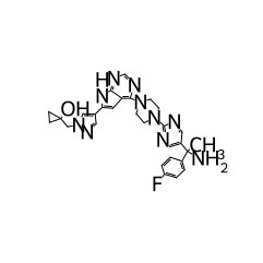 CC(N)(c1ccc(F)cc1)c1cnc(N2CCN(c3ncnc4[nH]c(-c5cnn(CC6(O)CC6)c5)cc34)CC2)nc1